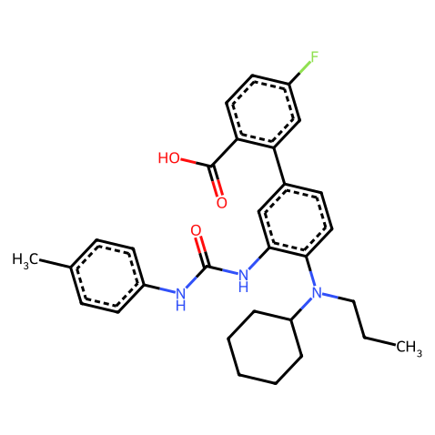 CCCN(c1ccc(-c2cc(F)ccc2C(=O)O)cc1NC(=O)Nc1ccc(C)cc1)C1CCCCC1